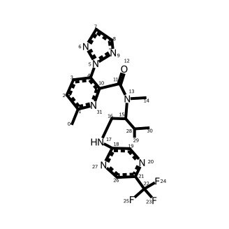 Cc1ccc(-n2nccn2)c(C(=O)N(C)C(CNc2cnc(C(F)(F)F)cn2)C(C)C)n1